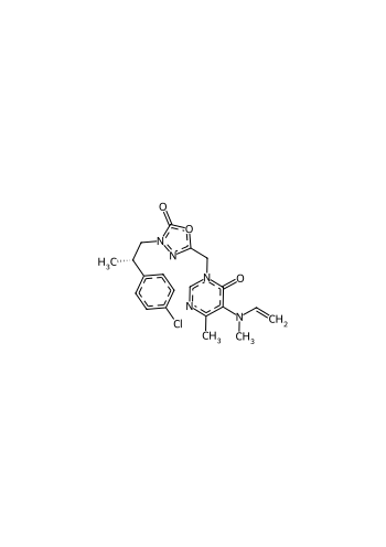 C=CN(C)c1c(C)ncn(Cc2nn(C[C@@H](C)c3ccc(Cl)cc3)c(=O)o2)c1=O